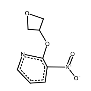 O=[N+]([O-])c1cccnc1OC1COC1